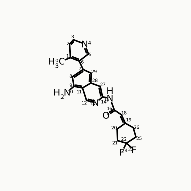 Cc1ccncc1-c1cc(N)c2cnc(NC(=O)C=C3CCC(F)(F)CC3)cc2c1